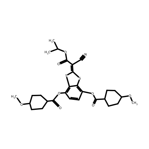 COC1CCC(C(=O)Oc2ccc(OC(=O)C3CCC(OC)CC3)c3c2SC(=C(C#N)C(=O)OC(C)C)S3)CC1